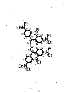 CCOc1cc(N(CC)CC)ccc1C(COCC(c1ccc(N(CC)CC)cc1)c1ccc(N(CC)CC)cc1OCC)c1ccc(N(CC)CC)cc1